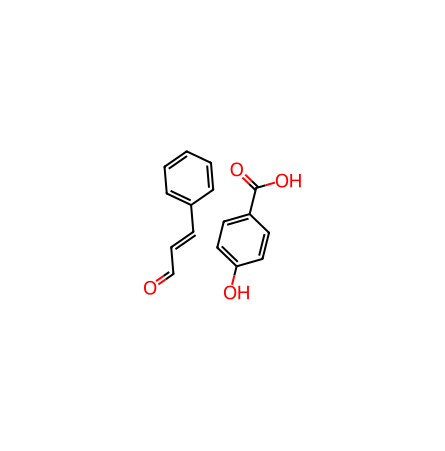 O=C(O)c1ccc(O)cc1.O=CC=Cc1ccccc1